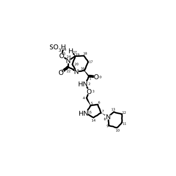 O=C(NOC[C@H]1C[C@H](N2CCCCC2)CN1)[C@@H]1CC[C@@H]2CN1C(=O)N2OS(=O)(=O)O